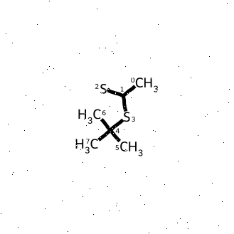 CC([S])SC(C)(C)C